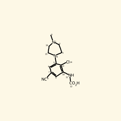 CN1CCN(c2cc(C#N)cc(NC(=O)O)c2Cl)CC1